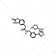 CN(C(=O)Cc1ccc2c(c1)NC(=O)C2)[C@H](CN1CCC(O)C1)c1cccc(-c2ncon2)c1